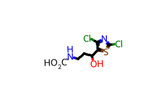 O=C(O)NCCC(O)c1sc(Cl)nc1Cl